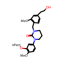 CCCCCOc1cc(N2CCCN(Cc3ccc(CCO)cc3OC)C2=O)ccc1OC